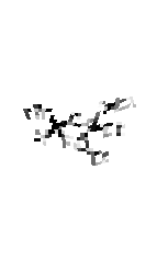 CCCC(CC)(CC)O[Si](CC)(OCC)OCC